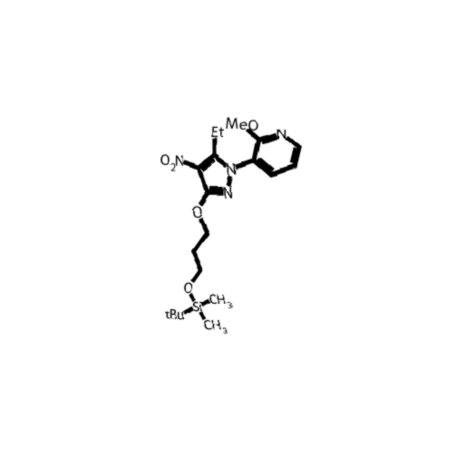 CCc1c([N+](=O)[O-])c(OCCCO[Si](C)(C)C(C)(C)C)nn1-c1cccnc1OC